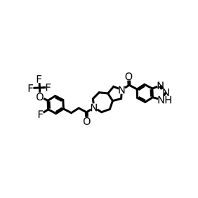 O=C(CCc1ccc(OC(F)(F)F)c(F)c1)N1CCC2CN(C(=O)c3ccc4[nH]nnc4c3)CC2CC1